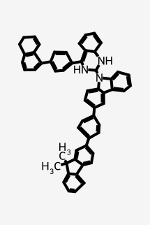 CC1(C)c2ccccc2-c2ccc(-c3ccc(-c4ccc5c(c4)c4ccccc4n5C4NC(c5ccc(-c6cccc7c6C=CCC7)cc5)=C5C=CC=CC5N4)cc3)cc21